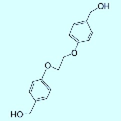 OCc1ccc(OCCOc2ccc(CO)cc2)cc1